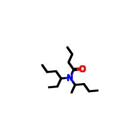 CCCC(=O)N(C(C)CCC)C(CC)CCC